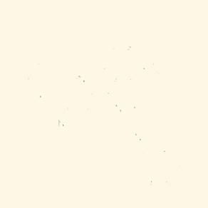 NC(=O)c1ccccc1N(CCN1CCN(c2ccccc2)CC1)Cc1ccc(Cl)cc1